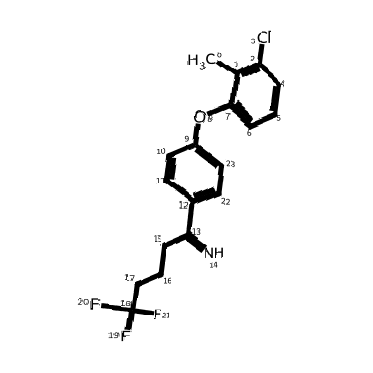 Cc1c(Cl)cccc1Oc1ccc(C(=N)[CH]CCC(F)(F)F)cc1